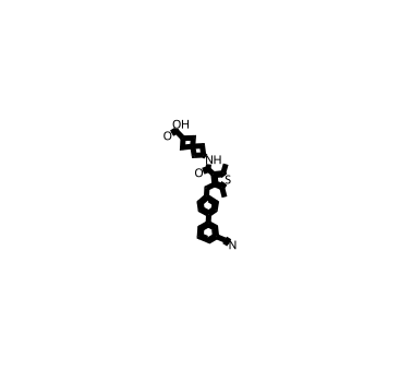 Cc1sc(C)c(C(=O)NC2CC3(C2)CC(C(=O)O)C3)c1Cc1ccc(-c2cccc(C#N)c2)cc1